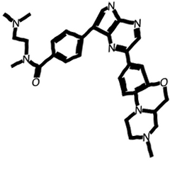 CN(C)CCN(C)C(=O)c1ccc(-c2c[nH]c3ncc(-c4ccc5c(c4)OCC4CN(C)CCN54)nc23)cc1